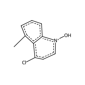 Cc1cccc2c1c(Cl)cc[n+]2O